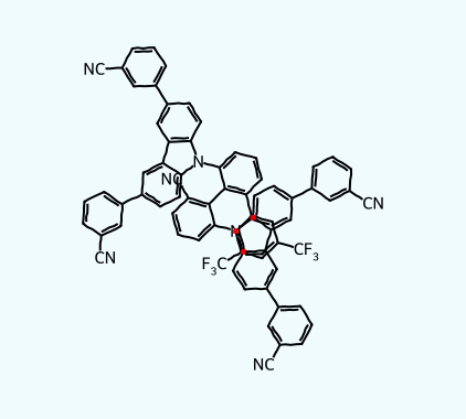 N#Cc1cccc(-c2ccc3c(c2)c2cc(-c4cccc(C#N)c4)ccc2n3-c2cccc(C#N)c2-c2c(-c3cc(C(F)(F)F)cc(C(F)(F)F)c3)cccc2-n2c3ccc(-c4cccc(C#N)c4)cc3c3cc(-c4cccc(C#N)c4)ccc32)c1